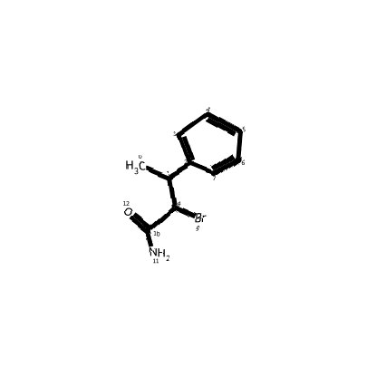 CC(c1ccccc1)C(Br)C(N)=O